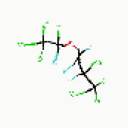 FC(F)(OC(F)(Cl)C(Cl)(Cl)Cl)C(F)(Cl)C(Cl)(Cl)Cl